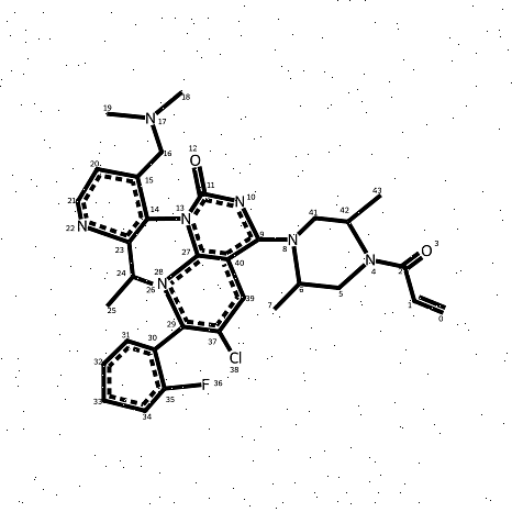 C=CC(=O)N1CC(C)N(c2nc(=O)n(-c3c(CN(C)C)ccnc3C(C)C)c3nc(-c4ccccc4F)c(Cl)cc23)CC1C